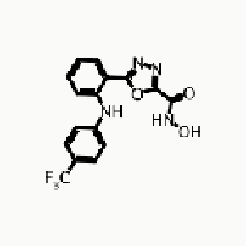 O=C(NO)c1nnc(-c2ccccc2Nc2ccc(C(F)(F)F)cc2)o1